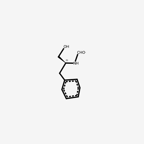 O=[C]N[C@H](CO)Cc1ccccc1